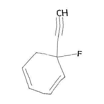 C#CC1(F)C=CC=CC1